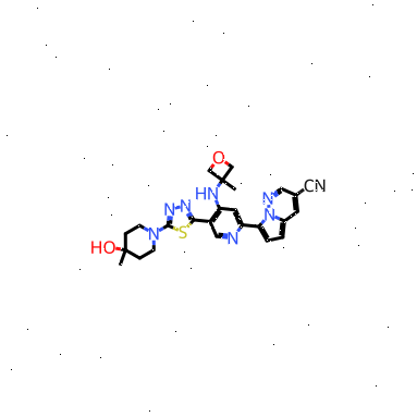 CC1(O)CCN(c2nnc(-c3cnc(-c4ccc5cc(C#N)cnn45)cc3NC3(C)COC3)s2)CC1